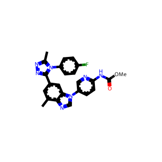 COC(=O)Nc1ccc(-n2cnc3c(C)cc(-c4nnc(C)n4-c4ccc(F)cc4)cc32)cn1